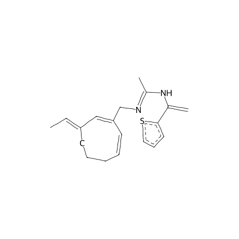 C=C(N/C(C)=N/CC1=C/C(=C/C)CCC/C=C\1)c1cccs1